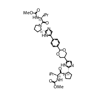 COC(=O)N[C@H](C(=O)N1CCC[C@H]1c1ncc(-c2ccc(C3OCC(c4cnc([C@@H]5CCCN5C(=O)[C@@H](NC(=O)OC)C(C)C)[nH]4)CO3)cc2)[nH]1)C(C)C